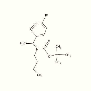 CCCCN(C(=O)OC(C)(C)C)[C@@H](C)c1ccc(Br)cc1